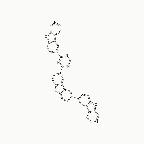 c1cc2c(cn1)oc1ccc(-c3ccc4oc5ccc(-c6ncnc(-c7ccc8oc9cnccc9c8c7)n6)cc5c4c3)cc12